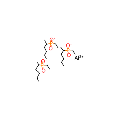 CCCCC(C)P(=O)([O-])CC.CCCCC(C)P(=O)([O-])CC.CCCCC(C)P(=O)([O-])CC.[Al+3]